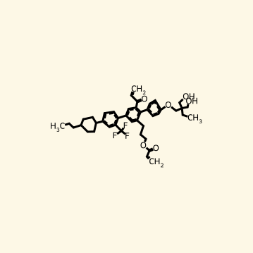 C=CC(=O)OCCCc1cc(-c2ccc(C3CCC(CCC)CC3)cc2C(F)(F)F)cc(C(=O)C=C)c1-c1ccc(OCC(CC)(CO)CO)cc1